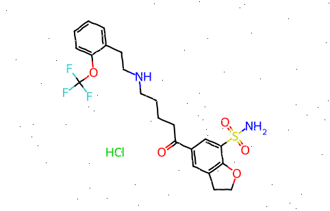 Cl.NS(=O)(=O)c1cc(C(=O)CCCCNCCc2ccccc2OC(F)(F)F)cc2c1OCC2